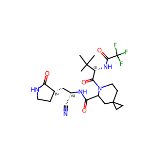 CC(C)(C)[C@H](NC(=O)C(F)(F)F)C(=O)N1CCC2(CC2)CC1C(=O)N[C@H](C#N)C[C@@H]1CCNC1=O